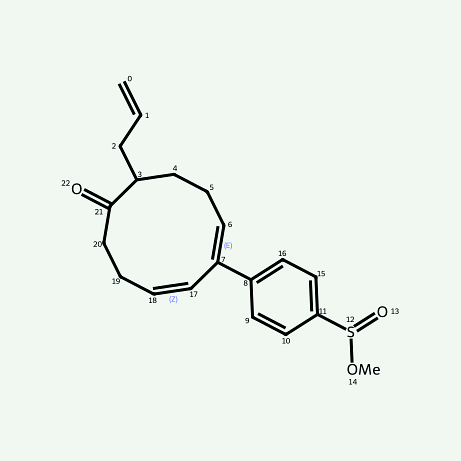 C=CCC1CC/C=C(c2ccc(S(=O)OC)cc2)\C=C/CCC1=O